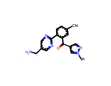 CC(C)n1cc(C(=O)c2cc(C#N)ccc2-c2ncc(CN)cn2)cn1